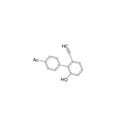 C#Cc1cccc(O)c1-c1ccc(C(C)=O)cc1